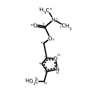 CN(C)C(=O)OCc1cc(CC(=O)O)no1